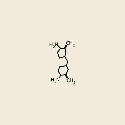 C=C1CC(CC2CCC(N)C(=C)C2)CCC1N